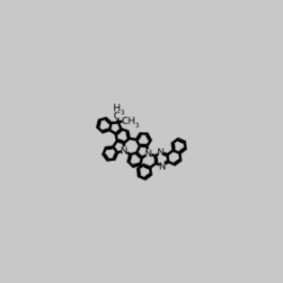 CC1(C)c2ccccc2-c2c1cc1c3cccc4c3c3c(cccc3n3c5ccccc5c2c13)n4-c1nc2c(ccc3ccccc32)nc1-c1ccccc1